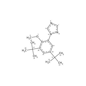 COc1c(-n2cncn2)cc(C(C)(C)C)cc1C(C)(C)C